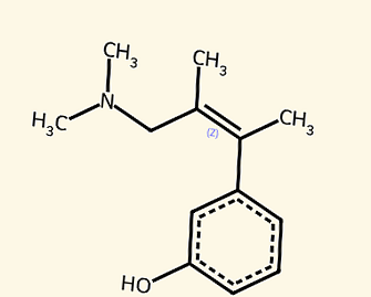 C/C(CN(C)C)=C(\C)c1cccc(O)c1